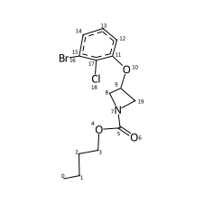 CCCCOC(=O)N1CC(Oc2cccc(Br)c2Cl)C1